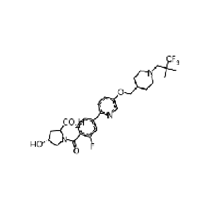 CC(C)(CN1CCC(COc2ccc(-c3ccc(C(=O)N4C[C@H](O)C[C@H]4C(=O)O)c(F)c3)nc2)CC1)C(F)(F)F